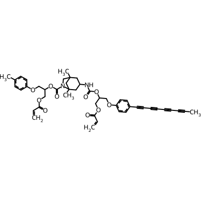 C=CC(=O)OCC(COc1ccc(C#CC#CC#CC#CC)cc1)OC(=O)NC1CC2(C)CN(C(=O)OC(COC(=O)C=C)COc3ccc(C)cc3)C(C)(C1)C2